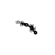 CC(C)(C)OC(=O)N1CC2(CCC(NC[C@@H]3CC[C@@H]4CN3C(=O)N4OCc3ccccc3)CC2)C1